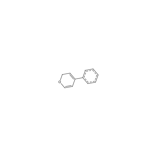 [c]1ccccc1C1=CCOC=C1